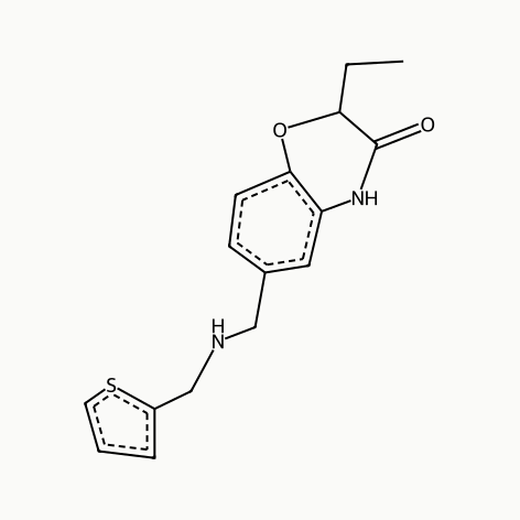 CCC1Oc2ccc(CNCc3cccs3)cc2NC1=O